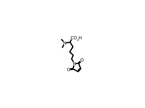 CN(C)C(CCCCN1C(=O)C=CC1=O)C(=O)O